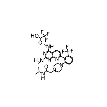 CNc1nc(N)nc2nc(-c3c(N4CCN(CC(=O)NC(C)C)CC4)cccc3C(F)(F)F)ccc12.O=C(O)C(F)(F)F